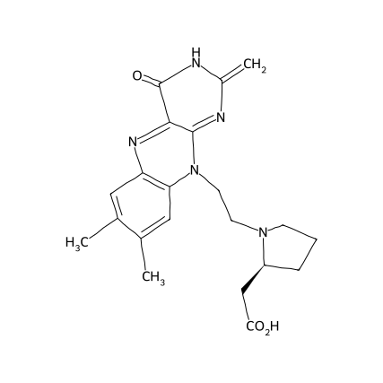 C=c1nc2c(c(=O)[nH]1)=Nc1cc(C)c(C)cc1N2CCN1CCC[C@H]1CC(=O)O